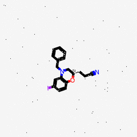 N#CCC[C@H]1CN(Cc2ccccc2)c2cc(I)ccc2O1